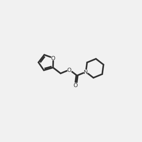 O=C(OCc1ccco1)N1CCCCC1